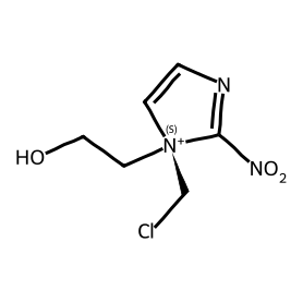 O=[N+]([O-])C1=NC=C[N@@+]1(CCl)CCO